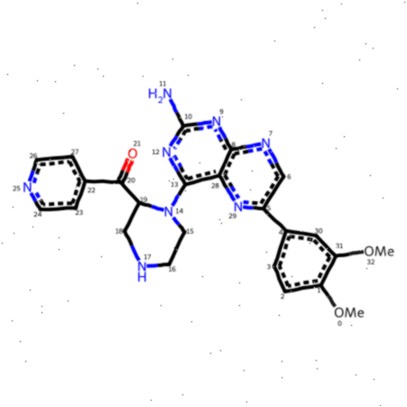 COc1ccc(-c2cnc3nc(N)nc(N4CCNCC4C(=O)c4ccncc4)c3n2)cc1OC